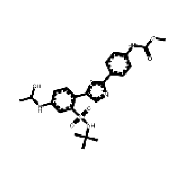 COC(=O)Nc1ccc(-c2ncc(-c3ccc(NC(C)O)cc3S(=O)(=O)NC(C)(C)C)s2)cc1